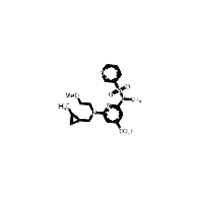 COCCN(CC1CC1C)c1cc(C(=O)O)cc(N(C)S(=O)(=O)c2cccnc2)n1